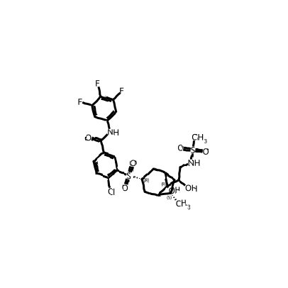 C[C@H]1CC2C[C@@H](S(=O)(=O)c3cc(C(=O)Nc4cc(F)c(F)c(F)c4)ccc3Cl)CC1[C@@]2(O)C(O)CNS(C)(=O)=O